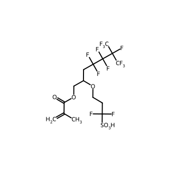 C=C(C)C(=O)OCC(CC(F)(F)C(F)(F)C(F)(C(F)(F)F)C(F)(F)F)OCCC(F)(F)S(=O)(=O)O